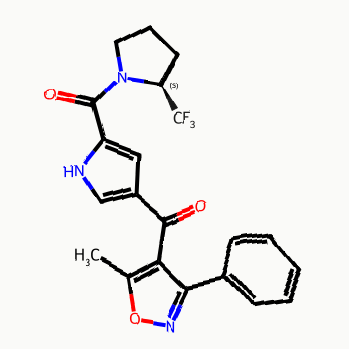 Cc1onc(-c2ccccc2)c1C(=O)c1c[nH]c(C(=O)N2CCC[C@H]2C(F)(F)F)c1